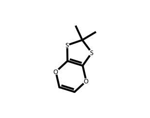 CC1(C)SC2=C(OC=CO2)S1